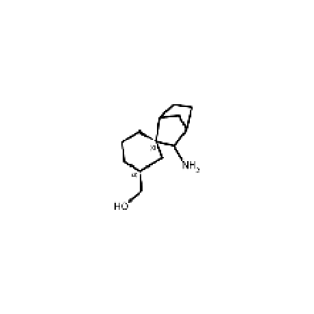 NC1C2CCC(C2)[C@]12CCC[C@H](CO)C2